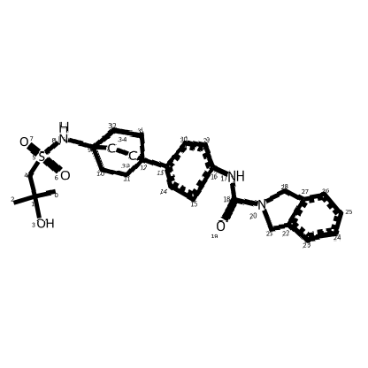 CC(C)(O)CS(=O)(=O)NC12CCC(c3ccc(NC(=O)N4Cc5ccccc5C4)cc3)(CC1)CC2